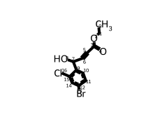 CCOC(=O)C#CC(O)c1ccc(Br)cc1Cl